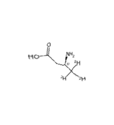 [2H]C([2H])([2H])[C@H](N)CC(=O)O